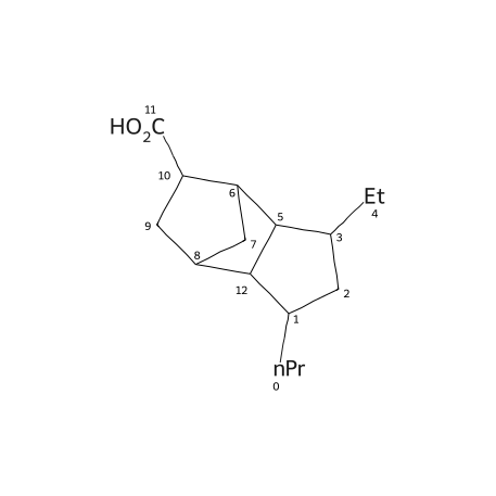 CCCC1CC(CC)C2C3CC(CC3C(=O)O)C12